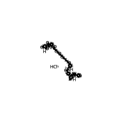 C[C@@H](NC(=O)c1cccc(NC2(c3nnc(-c4ccncc4)[nH]3)CCN(C)CC2)c1)c1cccc(OCCCCCCOCCOCCOCCC(=O)Nc2cccc3c2CN(C2CCC(=O)NC2=O)C3=O)c1.Cl